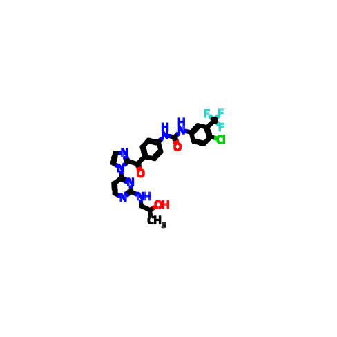 CC(O)CNc1nccc(-n2ccnc2C(=O)c2ccc(NC(=O)Nc3ccc(Cl)c(C(F)(F)F)c3)cc2)n1